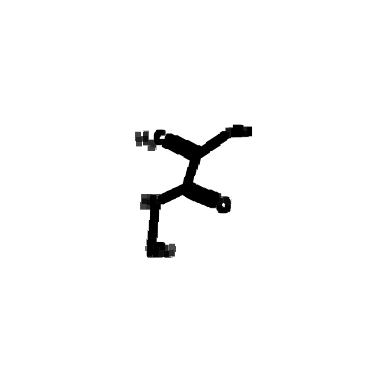 C=C(CCCC)C(=O)NC(C)(C)C